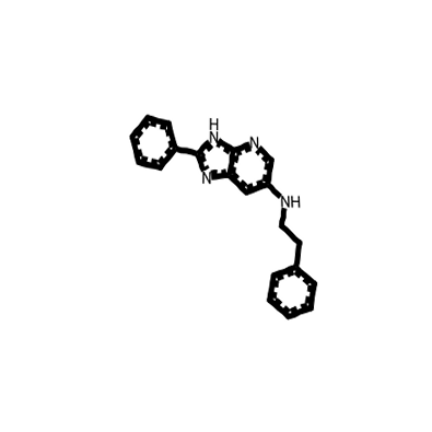 c1ccc(CCNc2cnc3[nH]c(-c4ccccc4)nc3c2)cc1